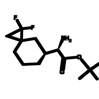 CC(C)(C)OC(=O)[C@@H](N)[C@H]1CCCC2(C1)CC2(F)F